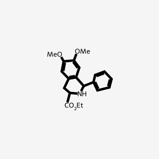 CCOC(=O)C1Cc2cc(OC)c(OC)cc2C(c2ccccc2)N1